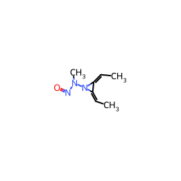 C/C=C1\C(=C/C)N1N(C)N=O